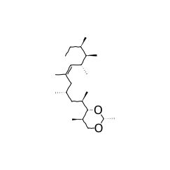 CC[C@@H](C)[C@@H](C)[C@H](C)/C=C(/C)C[C@@H](C)C[C@@H](C)[C@@H]1O[C@H](C)OC[C@H]1C